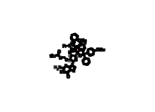 COc1ccc(C(OC(C(=O)COc2ccccc2)([C@H]2O[C@@H](n3cnc4c(=O)[nH]c(N)nc43)[C@H](OCOC(=O)C(C)(C)C)[C@@H]2OP(OCCC#N)N(C(C)C)C(C)C)C(C)(C)C)(c2ccccc2)c2ccc(OC)cc2)cc1